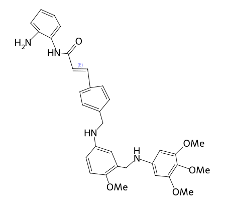 COc1ccc(NCc2ccc(/C=C/C(=O)Nc3ccccc3N)cc2)cc1CNc1cc(OC)c(OC)c(OC)c1